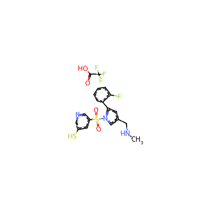 CNCc1cc(-c2ccccc2F)n(S(=O)(=O)c2cncc(S)c2)c1.O=C(O)C(F)(F)F